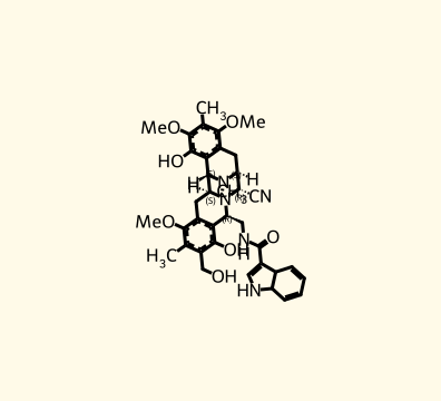 COc1c(C)c(OC)c2c(c1O)[C@H]1[C@@H]3Cc4c(OC)c(C)c(CO)c(O)c4[C@H](CNC(=O)C4=CNC5C=CC=CC45)N3[C@@H](C#N)[C@H](C2)N1C